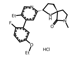 CCOc1ccc(F)c(-c2cc([C@@H]3CC[C@]4(CCN(C)C4=O)N3)ncc2CC)c1.Cl